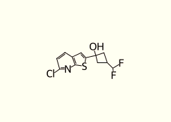 OC1(c2cc3ccc(Cl)nc3s2)CC(C(F)F)C1